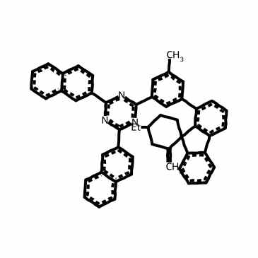 C=C1CC(CC)CCC12c1ccccc1-c1cccc(-c3cc(C)cc(-c4nc(-c5ccc6ccccc6c5)nc(-c5ccc6ccccc6c5)n4)c3)c12